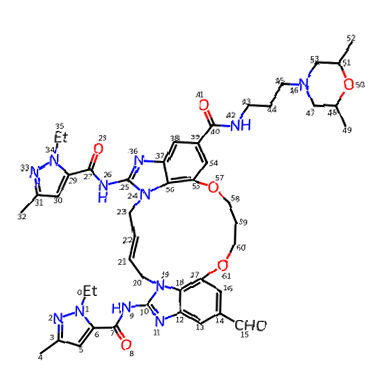 CCn1nc(C)cc1C(=O)Nc1nc2cc(C=O)cc3c2n1C/C=C/Cn1c(NC(=O)c2cc(C)nn2CC)nc2cc(C(=O)NCCCN4CC(C)OC(C)C4)cc(c21)OCCCO3